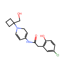 O=C(Cc1cc(Cl)ccc1O)NC1=CCN(C2(CO)CCC2)C=C1